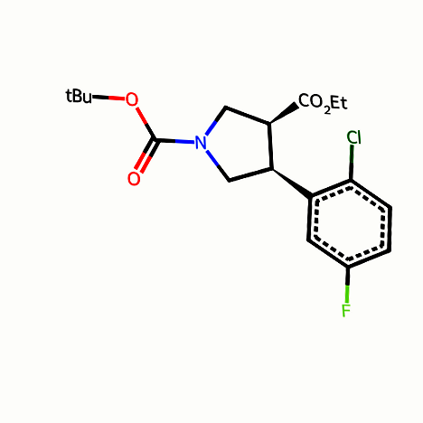 CCOC(=O)[C@@H]1CN(C(=O)OC(C)(C)C)C[C@@H]1c1cc(F)ccc1Cl